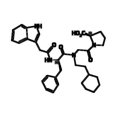 O=C(Cc1c[nH]c2ccccc12)N[C@H](Cc1ccccc1)C(=O)N(CCC1CCCCC1)CC(=O)N1CCC[C@@H]1C(=O)O